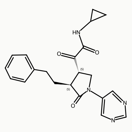 O=C(NC1CC1)C(=O)[C@@H]1CN(c2cncnc2)C(=O)[C@H]1CCc1ccccc1